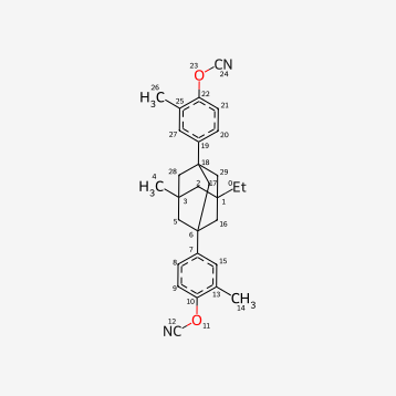 CCC12CC3(C)CC(c4ccc(OC#N)c(C)c4)(C1)CC(c1ccc(OC#N)c(C)c1)(C3)C2